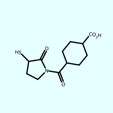 O=C(O)C1CCC(C(=O)N2CCC(S)C2=O)CC1